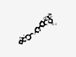 C[C@@]1(C(N)=O)C[C@@H](O)CN1C(=O)c1ccc(-c2ccc(OCC3CCN(CC4(C(F)(F)F)CCC4)CC3)cn2)cc1F